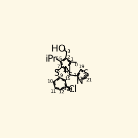 Cc1c(CO)c(C(C)C)c(Sc2cccc(Cl)c2)n1Cc1cscn1